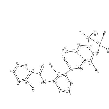 O=C(Nc1cccc(C(=O)Nc2c(Br)cc(C(F)(C(F)(F)F)C(F)(F)C(F)(F)F)cc2C(F)(F)F)c1F)c1cccnc1Cl